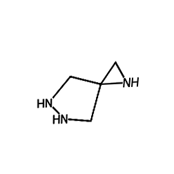 C1NNCC12CN2